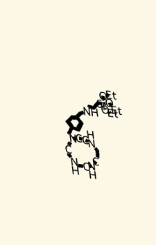 CCO[Si](CCCNCc1ccc(CN2CCCNCCNCCCNCC2)cc1)(OCC)OCC